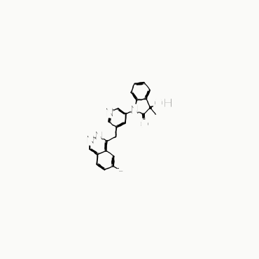 CC1(O)C(=O)N(c2cncc(Cc3nncc4ccc(F)cc34)c2)c2ccccc21